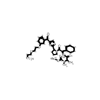 CC(C(=O)NC(C(=O)N1CCCC1c1nc(C(=O)c2cccc(OCCOCCC(=O)O)c2)cs1)C1CCCCC1)N(C)C(=O)OC(C)(C)C